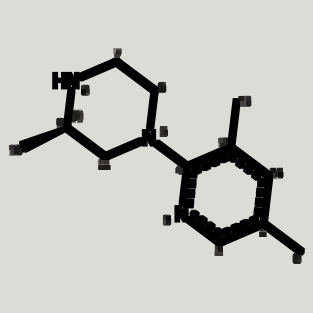 Cc1cnc(N2CCN[C@H](C)C2)c(C)c1